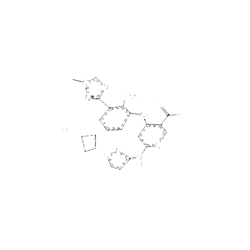 CCC(=O)c1cnc(Nc2ccn([C@H]3C[C@@H](O)C3)n2)cc1Nc1cccc(-c2ncn(C)n2)c1OC